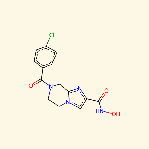 O=C(NO)c1cn2c(n1)CN(C(=O)c1ccc(Cl)cc1)CC2